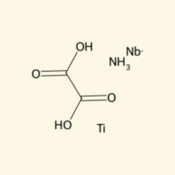 N.O=C(O)C(=O)O.[Nb].[Ti]